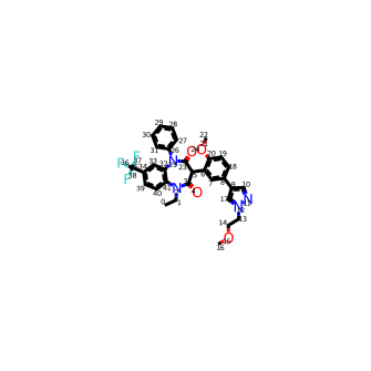 CCN1C(=O)C(c2cc(-c3cnn(CCOC)c3)ccc2OC)C(=O)N(c2ccccc2)c2cc(C(F)(F)F)ccc21